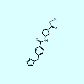 CC(C)(C)OC(=O)N1CCC(NC(=O)c2ccc(Cn3cccn3)cc2)C1